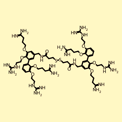 N=C(N)CCCOc1cc(CNC(=O)CCSSCCC(=O)NCc2cc(OCCCC(=N)N)c(OCCNC(=N)N)c(-c3cccc(OCCNC(=N)N)c3OCCCC(=N)N)c2)cc(-c2cccc(OCCNC(=N)N)c2OCCCC(=N)N)c1OCCNC(=N)N